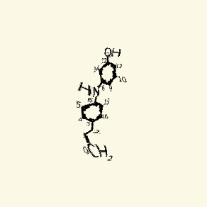 C=CCc1ccc(Nc2cccc(O)c2)cc1